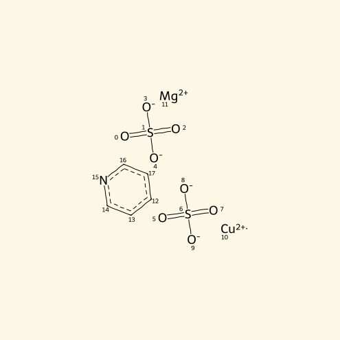 O=S(=O)([O-])[O-].O=S(=O)([O-])[O-].[Cu+2].[Mg+2].c1ccncc1